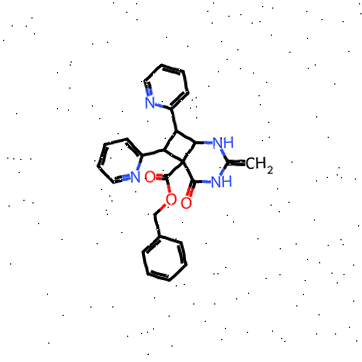 C=C1NC(=O)C2(C(=O)OCc3ccccc3)C(N1)C(c1ccccn1)C2c1ccccn1